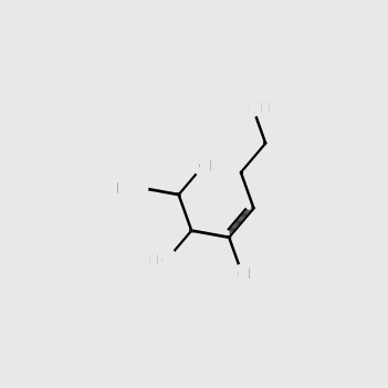 CC(=CCCO)C(O)C(C)C